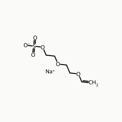 C=COCCOCCOS(=O)(=O)[O-].[Na+]